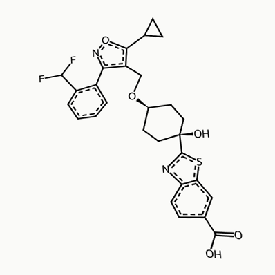 O=C(O)c1ccc2nc([C@]3(O)CC[C@@H](OCc4c(-c5ccccc5C(F)F)noc4C4CC4)CC3)sc2c1